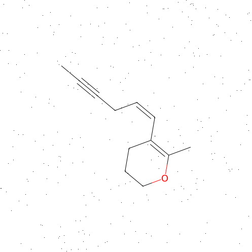 CC#CC/C=C\C1=C(C)OCCC1